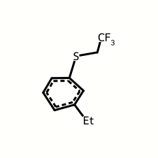 CCc1cccc(SCC(F)(F)F)c1